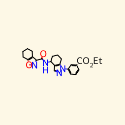 CCOC(=O)c1cccc(-n2ncc3c2CCCC3NC(=O)c2noc3c2CCCC3)c1